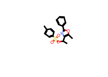 Cc1ccc(S(=O)(=O)OC(C)c2nc(-c3ccccc3)oc2C)cc1